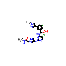 CNC(=O)Cn1cc(Nc2ncc(Cl)c(N[C@H](CO)c3cc(F)cc(-c4cnn(C)c4)c3)n2)cn1